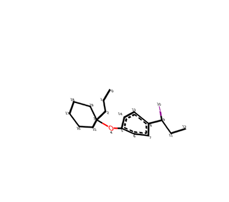 CCCC1(Oc2ccc(C(I)CC)cc2)CCCCC1